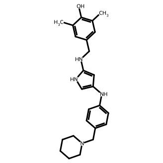 Cc1cc(CNc2cc(Nc3ccc(CN4CCCCC4)cc3)c[nH]2)cc(C)c1O